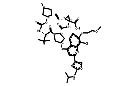 C=C[C@@H]1C[C@]1(NC(=O)[C@@H]1C[C@@H](Oc2cc(-c3coc(NC(C)C)n3)nc3c(Cl)c(OCCOC)ccc23)CN1C(=O)[C@@H](NC(=O)O[C@@H]1CC[C@H](C)C1)C(C)(C)C)C(=O)O